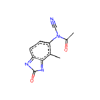 CC(=O)N(C#N)c1ccc2c(c1C)=NC(=O)N=2